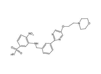 CCCS(=O)(=O)c1ccc([N+](=O)[O-])c(NCc2cccc(-c3ncc(OCCN4CCOCC4)cn3)c2)c1